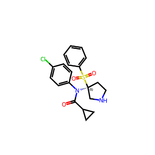 O=C(C1CC1)N(c1ccc(Cl)cc1)[C@]1(S(=O)(=O)c2ccccc2)CCNC1